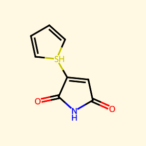 O=C1C=C([SH]2C=CC=C2)C(=O)N1